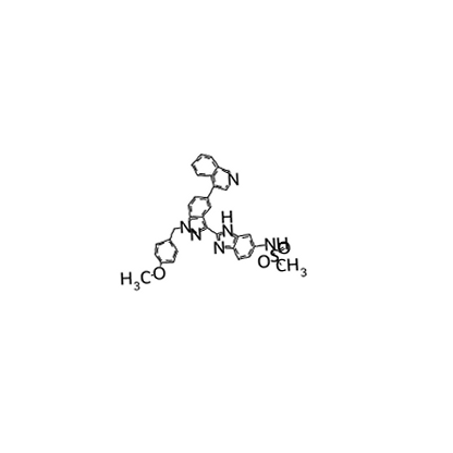 COc1ccc(Cn2nc(-c3nc4ccc(NS(C)(=O)=O)cc4[nH]3)c3cc(-c4cncc5ccccc45)ccc32)cc1